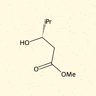 COC(=O)C[C@H](O)C(C)C